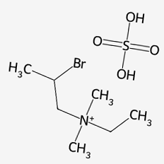 CC[N+](C)(C)CC(C)Br.O=S(=O)(O)O